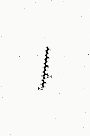 CC(C)=CCC/C(C)=C/CC/C(C)=C/CC/C(=C/CC/C(C)=C/CO)CO